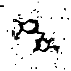 O=c1c(Br)cncn1Cc1ccc(Cl)c(C(F)(F)F)c1